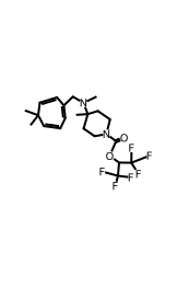 CN(CC1=CC=CC(C)(C)C=C1)C1(C)CCN(C(=O)OC(C(F)(F)F)C(F)(F)F)CC1